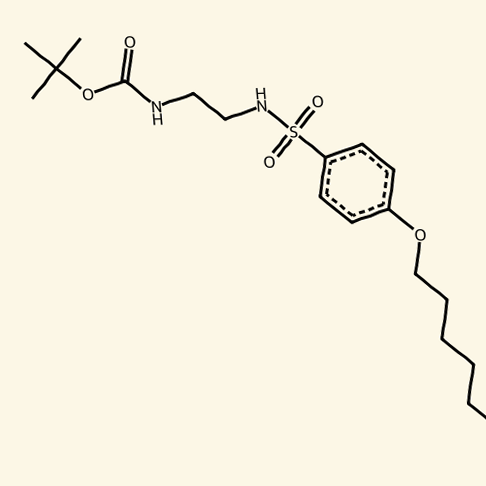 CCCCCCOc1ccc(S(=O)(=O)NCCNC(=O)OC(C)(C)C)cc1